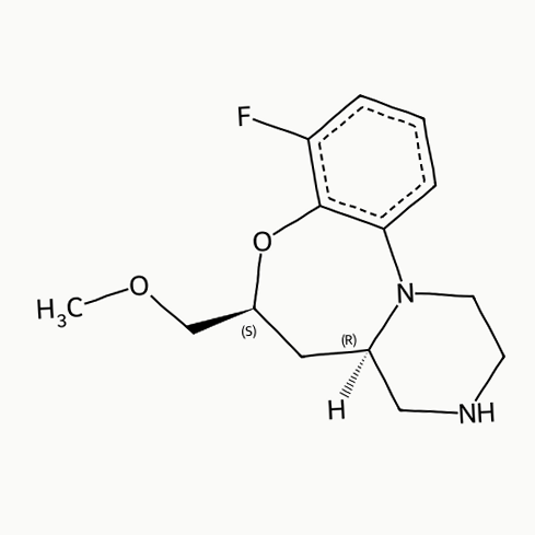 COC[C@@H]1C[C@@H]2CNCCN2c2cccc(F)c2O1